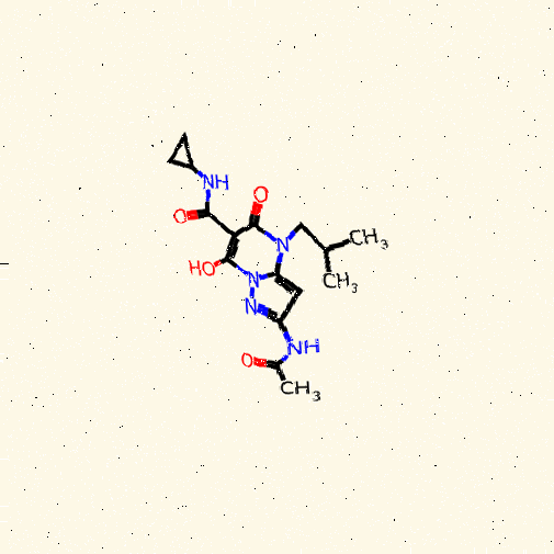 CC(=O)Nc1cc2n(CC(C)C)c(=O)c(C(=O)NC3CC3)c(O)n2n1